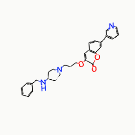 O=c1oc2cc(-c3cccnc3)ccc2cc1OCCCN1CCC(NCc2ccccc2)CC1